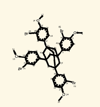 COc1ccc(C23CC4(c5ccc(OC)c(Br)c5)CC(c5ccc(OC)c(Br)c5)(C2)CC(c2ccc(OC)c(Br)c2)(C3)C4)cc1Br